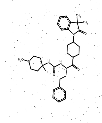 CN1CCC(C)(NC(=O)N[C@@H](CCc2ccccc2)C(=O)N2CCC(N3C(=O)C(C)(C)c4ccccc43)CC2)CC1